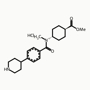 COC(=O)[C@H]1CC[C@H](N(C)C(=O)c2ccc(C3CCNCC3)cc2)CC1.Cl